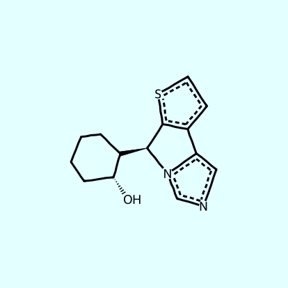 O[C@@H]1CCCCC1[C@H]1c2sccc2-c2cncn21